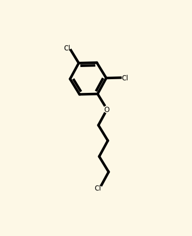 ClCCCCOc1ccc(Cl)cc1Cl